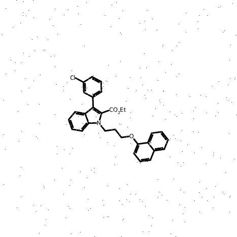 CCOC(=O)c1c(-c2cccc(Cl)c2)c2ccccc2n1CCCOc1cccc2ccccc12